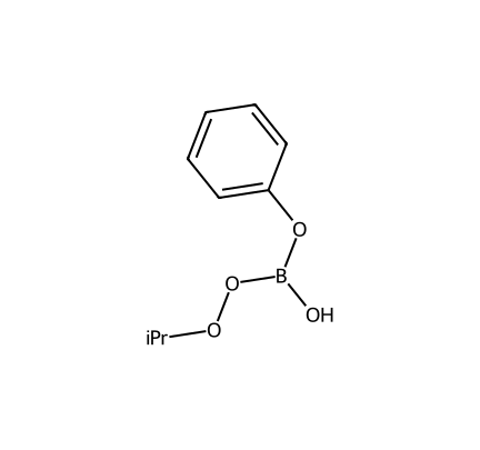 CC(C)OOB(O)Oc1ccccc1